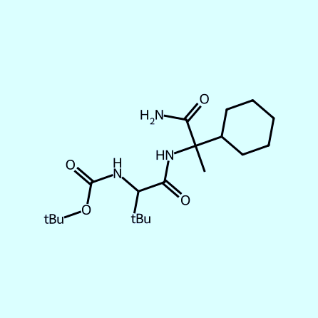 CC(C)(C)OC(=O)NC(C(=O)NC(C)(C(N)=O)C1CCCCC1)C(C)(C)C